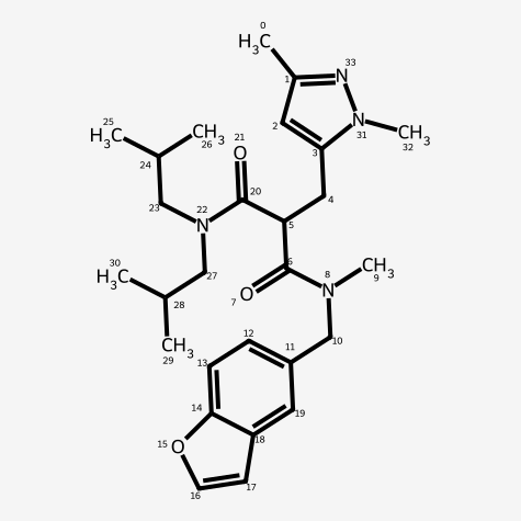 Cc1cc(CC(C(=O)N(C)Cc2ccc3occc3c2)C(=O)N(CC(C)C)CC(C)C)n(C)n1